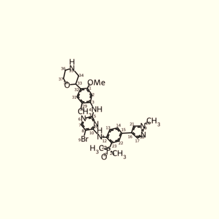 COc1cc(Nc2ncc(Br)c(Nc3ccc(-c4cnn(C)c4)cc3P(C)(C)=O)n2)c(C)cc1C1CNCCO1